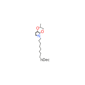 CCCCCCCCCCCCCCCCCCn1ccc2c1OCC(C)O2